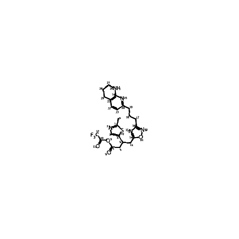 Cc1ncc(C(CC(=O)OC(=O)C(F)(F)F)Cc2nc(CCCc3ccc4c(n3)NCCC4)no2)s1